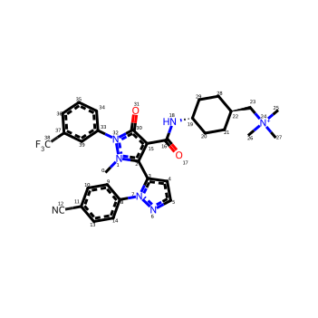 Cn1c(-c2ccnn2-c2ccc(C#N)cc2)c(C(=O)N[C@H]2CC[C@H](C[N+](C)(C)C)CC2)c(=O)n1-c1cccc(C(F)(F)F)c1